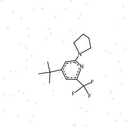 CC(C)(C)c1cc(N2CCCC2)nc(C(F)(F)F)c1